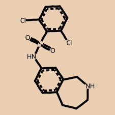 O=S(=O)(Nc1ccc2c(c1)CNCCC2)c1c(Cl)cccc1Cl